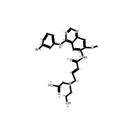 COc1cc2ncnc(Nc3cccc(Br)c3)c2cc1NC(=O)C=CCN(CCO)CC(=O)O